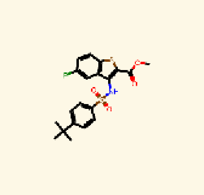 COC(=O)c1sc2ccc(F)cc2c1NS(=O)(=O)c1ccc(C(C)(C)C)cc1